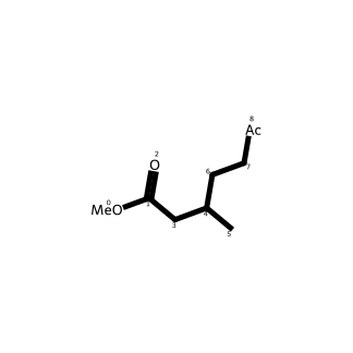 COC(=O)CC(C)CCC(C)=O